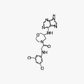 O=C(CNc1cc(Cl)cc(Cl)c1)N1CCOCC(Nc2ncnc3[nH]cnc23)C1